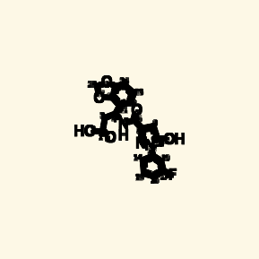 O=C(O)CC(NC(=O)c1cc(O)n(-c2cccc(F)c2)n1)c1cccc2c1OCO2